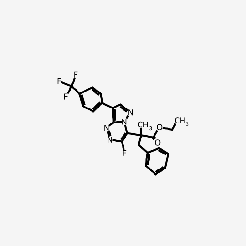 CCOC(=O)C(C)(Cc1ccccc1)c1c(F)nnc2c(-c3ccc(C(F)(F)F)cc3)cnn12